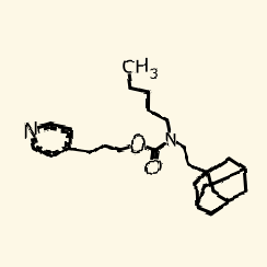 CCCCCN(CCC12CC3CC(CC(C3)C1)C2)C(=O)OCCCc1ccncc1